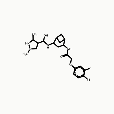 CC1NN(C)CC1C(O)NC1CC(NC(=O)COc2ccc(Cl)c(F)c2)C2CC1C2